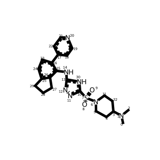 CN(C)C1CCN(S(=O)(=O)c2nnc(Nc3c(-c4ccncc4)ccc4c3CCC4)[nH]2)CC1